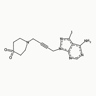 Nc1ncnc2c1c(I)nn2CC#CCN1CCS(=O)(=O)CC1